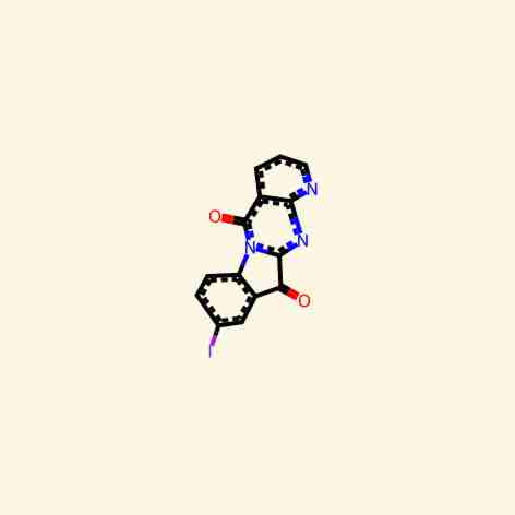 O=C1c2cc(I)ccc2-n2c1nc1ncccc1c2=O